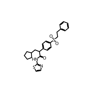 O=C(Nc1nccs1)C(CC1CCCC1)c1ccc(S(=O)(=O)CCc2ccccc2)cc1